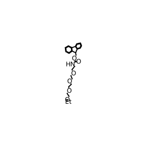 CCOCCOCCOCCOCCNC(=O)OCC1c2ccccc2-c2ccccc21